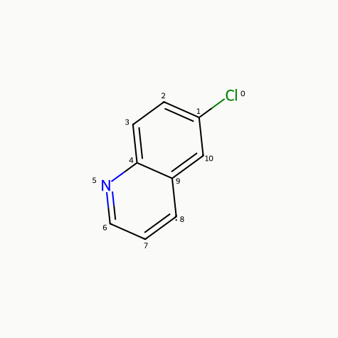 Clc1ccc2ncc[c]c2c1